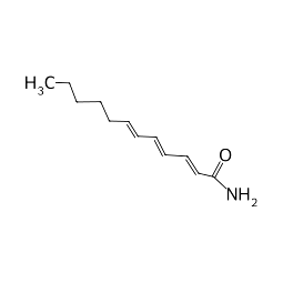 CCCCCC=CC=CC=CC(N)=O